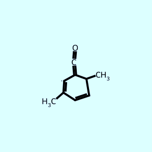 CC1=[C]C(=C=O)C(C)C=C1